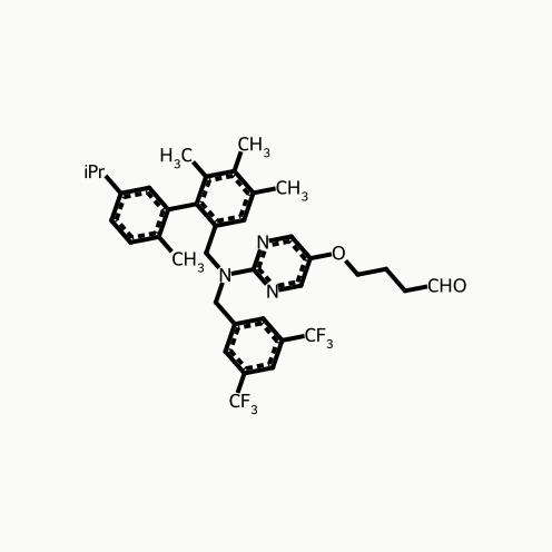 Cc1ccc(C(C)C)cc1-c1c(CN(Cc2cc(C(F)(F)F)cc(C(F)(F)F)c2)c2ncc(OCCCC=O)cn2)cc(C)c(C)c1C